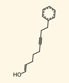 OC=CCCCC#CCCc1ccccc1